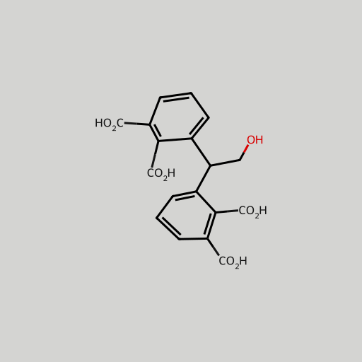 O=C(O)c1cccc(C(CO)c2cccc(C(=O)O)c2C(=O)O)c1C(=O)O